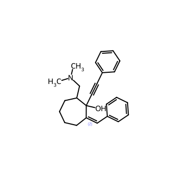 CN(C)CC1CCCC/C(=C/c2ccccc2)C1(O)C#Cc1ccccc1